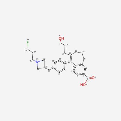 O=C(O)c1ccc2c(c1)CCCC(CCCO)=C2c1ccc(CC2CN(CCCF)C2)cc1